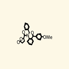 COc1ccc(C(=O)c2ccccc2N(Cc2ccccc2)C(=O)C2CCC(=O)O2)cc1